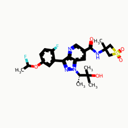 CC(F)Oc1ccc(F)c(-c2nn([C@@H](C)C(C)(C)O)c3cc(C(=O)NC4(C)CS(=O)(=O)C4)cnc23)c1